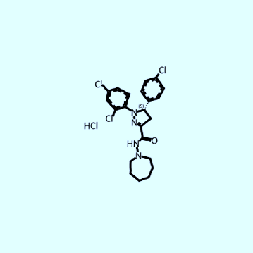 Cl.O=C(NN1CCCCCC1)C1=NN(c2ccc(Cl)cc2Cl)[C@H](c2ccc(Cl)cc2)C1